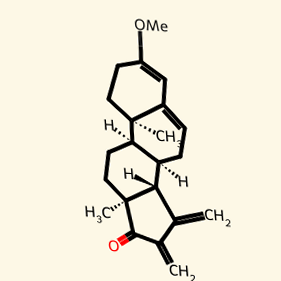 C=C1C(=C)[C@H]2[C@@H]3CC=C4C=C(OC)CC[C@]4(C)[C@@H]3CC[C@]2(C)C1=O